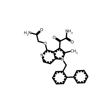 Cc1c(C(=O)C(N)=O)c2c(OCC(N)=O)nccc2n1Cc1ccccc1-c1ccccc1